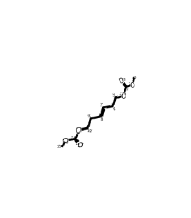 COC(=O)OCCC=CCCOC(=O)OC